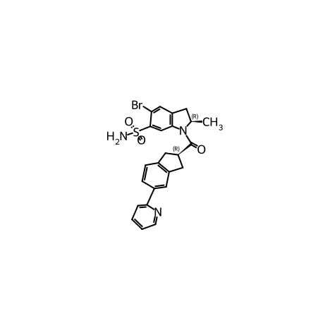 C[C@@H]1Cc2cc(Br)c(S(N)(=O)=O)cc2N1C(=O)[C@@H]1Cc2ccc(-c3ccccn3)cc2C1